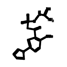 COc1ccc(-n2cccc2)cc1C(=O)CS(=O)(=O)ONC(=N)N